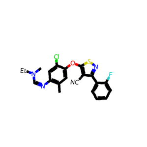 CCN(C)/C=N\c1cc(Cl)c(Oc2snc(-c3ccccc3F)c2C#N)cc1C